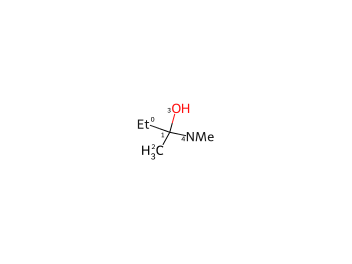 CCC(C)(O)NC